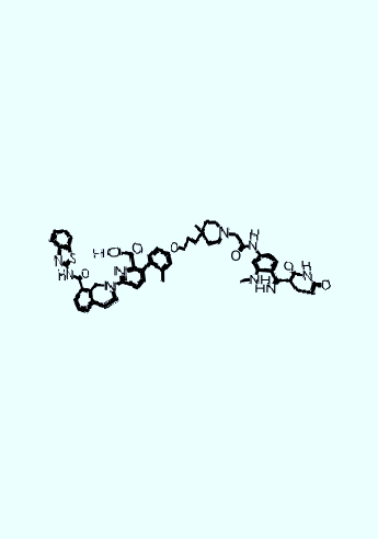 CNc1cc(NC(=O)CN2CCC(C)(CCCOc3ccc(-c4ccc(N5CCc6cccc(C(=O)Nc7nc8ccccc8s7)c6C5)nc4C(=O)O)c(C)c3)CC2)ccc1C(=N)C1CCC(=O)NC1=O